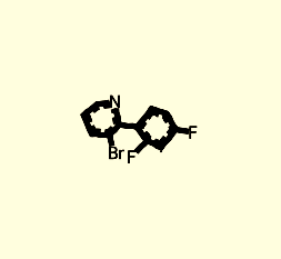 Fc1[c]c(F)c(-c2ncccc2Br)cc1